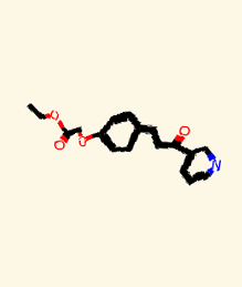 CCOC(=O)COc1ccc(CCC(=O)c2cccnc2)cc1